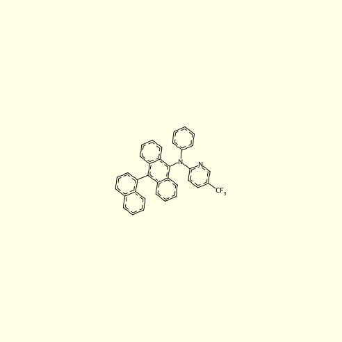 FC(F)(F)c1ccc(N(c2ccccc2)c2c3ccccc3c(-c3cccc4ccccc34)c3ccccc23)nc1